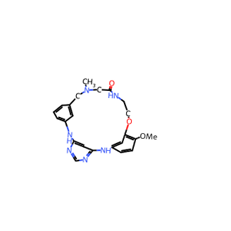 COc1ccc2cc1OCCNC(=O)CN(C)Cc1cccc(c1)Nc1cc(ncn1)N2